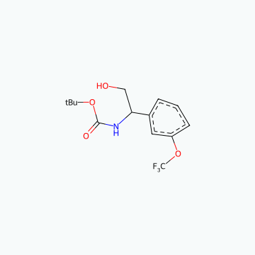 CC(C)(C)OC(=O)NC(CO)c1cccc(OC(F)(F)F)c1